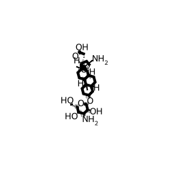 C[C@]12CC[C@H](O[C@H]3O[C@@H](CO)[C@H](O)[C@H](N)[C@@H]3O)C[C@H]1CC[C@@H]1[C@@H]2CC[C@]2(C)[C@@H]3CC[C@]12O[C@H](N)[C@@H]3CC(=O)O